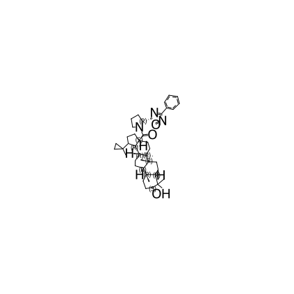 CC1(C2CC[C@]3(C(=O)N4CCC[C@@H]4c4nc(-c5ccccc5)no4)CC[C@]4(C)[C@H](CC[C@@H]5[C@@]6(C)CC[C@H](O)C(C)(C)[C@@H]6CC[C@]54C)[C@@H]23)CC1